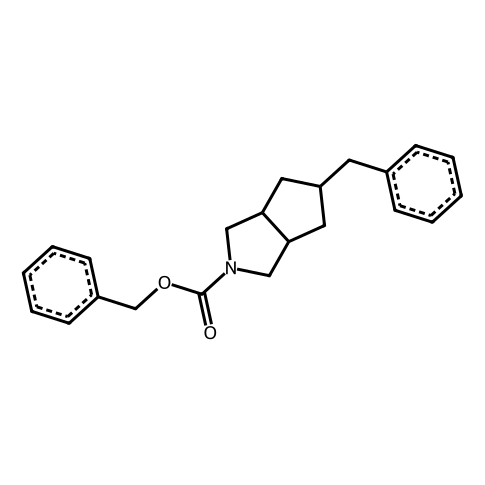 O=C(OCc1ccccc1)N1CC2CC(Cc3ccccc3)CC2C1